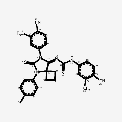 Cc1ccc(N2C(=S)N(c3ccc(C#N)c(C(F)(F)F)c3)C(=NC(=S)Nc3ccc(C#N)c(C(F)(F)F)c3)C23CCC3)cc1